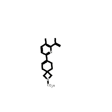 C=C(C)c1nc(C2=CCC3(CC2)CN(C(=O)O)C3)ccc1C